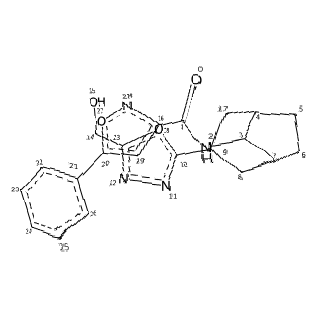 O=C(NC1C2CCC1CC(c1nnc(CO)o1)C2)c1cc(-c2ccccc2)on1